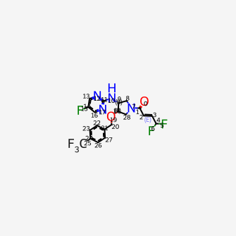 O=C(/C=C/C(F)F)N1C[C@@H](Nc2ncc(F)cn2)[C@H](OCc2ccc(C(F)(F)F)cc2)C1